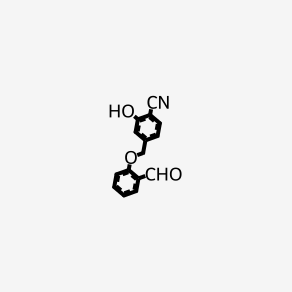 N#Cc1ccc(COc2ccccc2C=O)cc1O